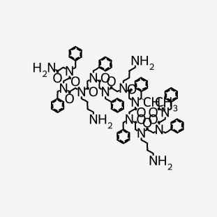 CC(=O)N(CC(=O)N(CC(=O)N(CCCCN)CC(=O)N(CC(=O)N(CC(=O)N(CCCCN)CC(=O)N(CC(=O)N(CC(=O)N(CCCCN)CC(=O)N(CC(=O)N(CC(N)=O)Cc1ccccc1)Cc1ccccc1)Cc1ccccc1)Cc1ccccc1)[C@@H](C)c1ccccc1)Cc1ccccc1)Cc1ccccc1)Cc1ccccc1